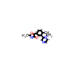 Cc1nc2oc3c(-c4cncc[n+]4C)c(C)ccc3c2o1